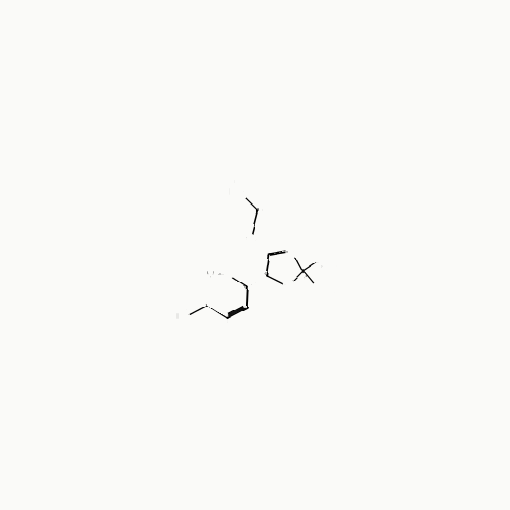 COC(/C=C\CC(C)C)[C@H]1OC(C)(C)O[C@H]1CCO